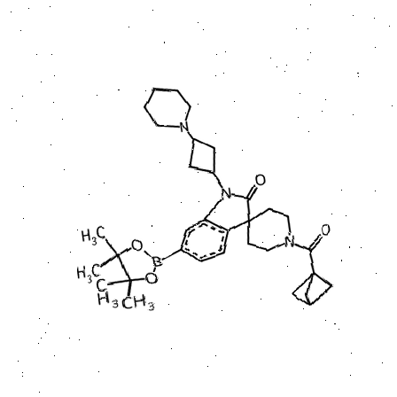 CC1(C)OB(c2ccc3c(c2)N(C2CC(N4CCCCC4)C2)C(=O)C32CCN(C(=O)C34CC(C3)C4)CC2)OC1(C)C